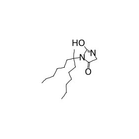 CCCCCCC(C)(CCCCCC)N1C(=O)CN=C1O